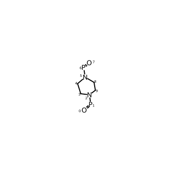 O=PN1CCN(P=O)CC1